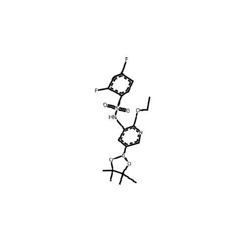 CCOc1ncc(B2OC(C)(C)C(C)(C)O2)cc1NS(=O)(=O)c1ccc(F)cc1F